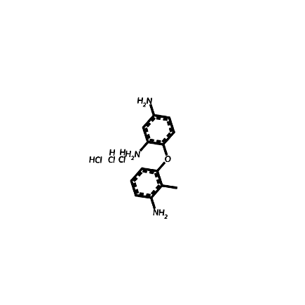 Cc1c(N)cccc1Oc1ccc(N)cc1N.Cl.Cl.Cl